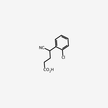 N#CC(CCC(=O)O)c1ccccc1Cl